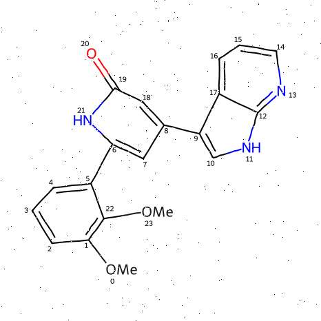 COc1cccc(-c2cc(-c3c[nH]c4ncccc34)cc(=O)[nH]2)c1OC